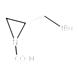 CC(C)(C)C[C@H]1CN1C(=O)O